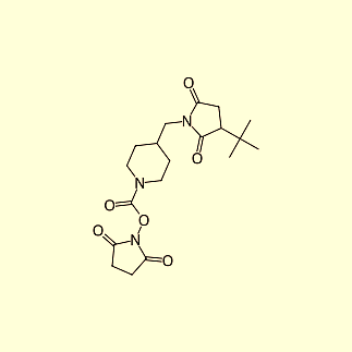 CC(C)(C)C1CC(=O)N(CC2CCN(C(=O)ON3C(=O)CCC3=O)CC2)C1=O